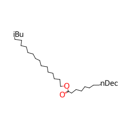 CCCCCCCCCCCCCCCCCC(=O)OCCCCCCCCCCCCCCCC(C)CC